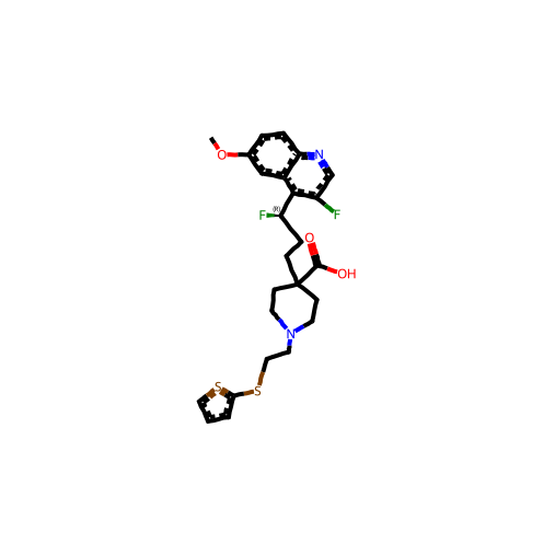 COc1ccc2ncc(F)c([C@H](F)CCC3(C(=O)O)CCN(CCSc4cccs4)CC3)c2c1